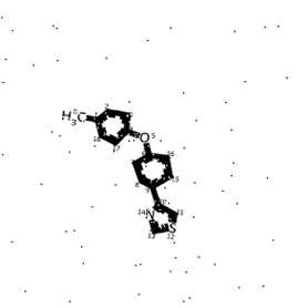 Cc1ccc(Oc2ccc(-c3cs[c]n3)cc2)cc1